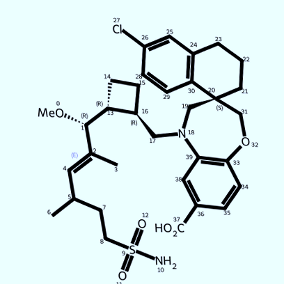 CO[C@@H](/C(C)=C/C(C)CCS(N)(=O)=O)[C@@H]1CC[C@H]1CN1C[C@@]2(CCCc3cc(Cl)ccc32)COc2ccc(C(=O)O)cc21